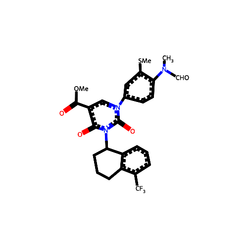 COC(=O)c1cn(-c2ccc(N(C)C=O)c(SC)c2)c(=O)n(C2CCCc3c2cccc3C(F)(F)F)c1=O